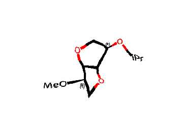 CO[C@@H]1COC2C1OC[C@H]2OC(C)C